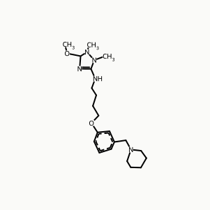 COC1N=C(NCCCCOc2cccc(CN3CCCCC3)c2)N(C)N1C